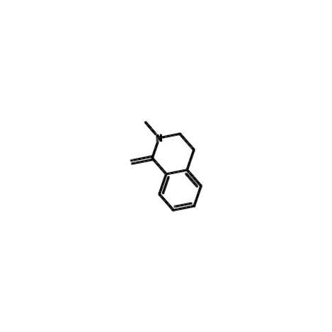 C=C1c2ccccc2CCN1C